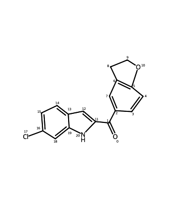 O=C(c1ccc2c(c1)CCO2)c1[c]c2ccc(Cl)cc2[nH]1